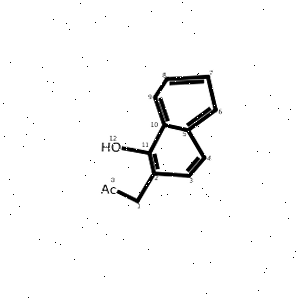 CC(=O)Cc1ccc2ccccc2c1O